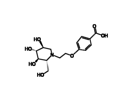 O=C(O)c1ccc(OCCN2C[C@H](O)[C@@H](O)[C@H](O)[C@H]2CO)cc1